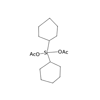 CC(=O)O[Si](OC(C)=O)(C1CCCCC1)C1CCCCC1